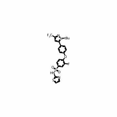 CC(C)(C)n1nc(C(F)(F)F)cc1-c1ccc(Oc2ccc(S(=O)(=O)Nc3nccs3)cc2F)cc1